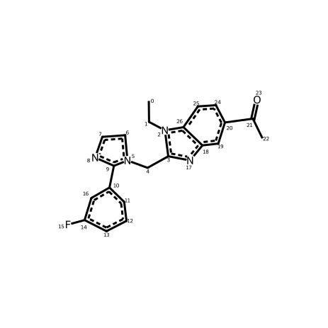 CCn1c(Cn2ccnc2-c2cccc(F)c2)nc2cc(C(C)=O)ccc21